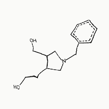 OCCC1CN(Cc2ccccc2)CC1CO